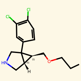 CCCOC[C@H]1[C@@H]2CNCC21c1ccc(Cl)c(Cl)c1